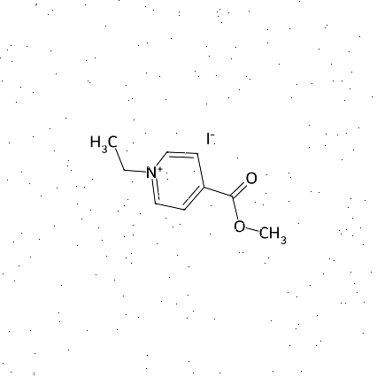 CC[n+]1ccc(C(=O)OC)cc1.[I-]